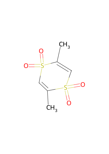 CC1=CS(=O)(=O)C(C)=CS1(=O)=O